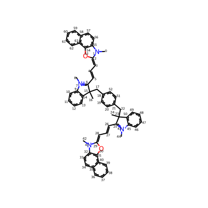 CN1/C(=C/C=C/C2=[N+](C)c3ccccc3C2(C)Cc2ccc(CC3(C)C(/C=C/C=C4\Oc5c(ccc6ccccc56)N4C)=[N+](C)c4ccccc43)cc2)Oc2c1ccc1ccccc21